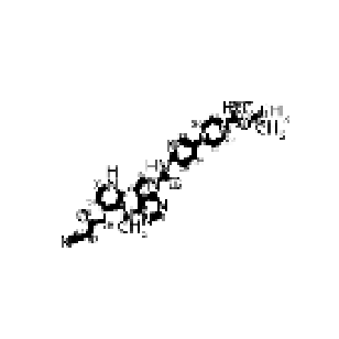 CN(c1ncnc2c1ccn2C(=O)Nc1ccc(N2CCN(C(=O)OC(C)(C)C)CC2)cn1)[C@H]1CNCC[C@@H]1CC(=O)CC#N